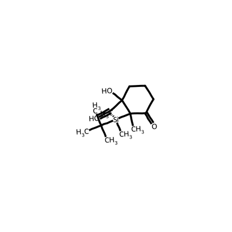 C#CC1(O)CCCC(=O)C1(C)[Si](C)(C)C(C)(C)C